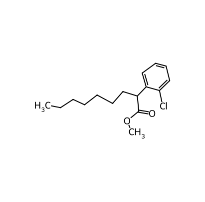 CCCCCCCC(C(=O)OC)c1ccccc1Cl